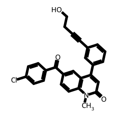 Cn1c(=O)cc(-c2cccc(C#CCCO)c2)c2cc(C(=O)c3ccc(Cl)cc3)ccc21